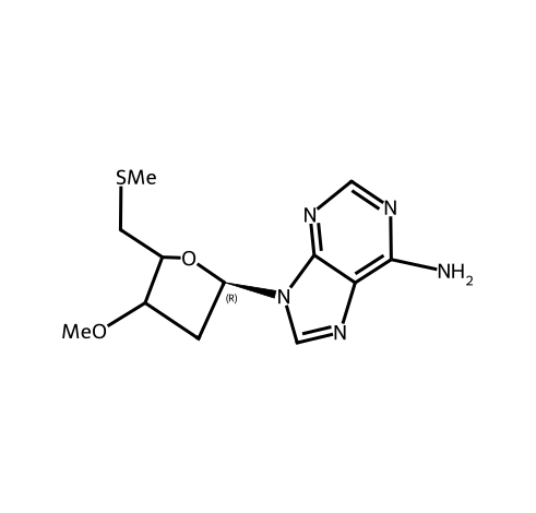 COC1C[C@H](n2cnc3c(N)ncnc32)OC1CSC